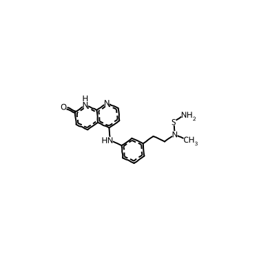 CN(CCc1cccc(Nc2ccnc3[nH]c(=O)ccc23)c1)SN